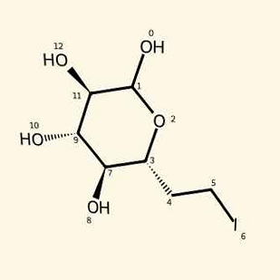 OC1O[C@H](CCI)[C@@H](O)[C@H](O)[C@H]1O